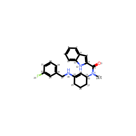 CCN(C(=O)c1cc2ccccc2[nH]1)[C@@H]1C=C(NCc2cccc(F)c2)CCC1